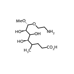 CO[C@H](OCCN)[C@H](O)C(O)[C@H](O)C(C)CCC(=O)O